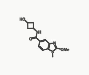 COc1nc2cc(C(=O)NC3CC(O)C3)ccc2n1C